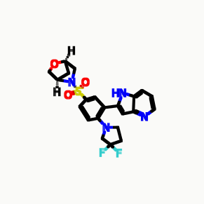 O=S(=O)(c1ccc(N2CCC(F)(F)C2)c(-c2cc3ncccc3[nH]2)c1)N1C[C@H]2C[C@@H]1CO2